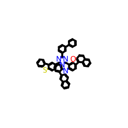 c1ccc(-c2cccc(-c3nc(-c4ccc5sc6ccccc6c5c4)nc(-c4c(-n5c6ccccc6c6cc7ccccc7cc65)ccc5c4oc4ccc6ccccc6c45)n3)c2)cc1